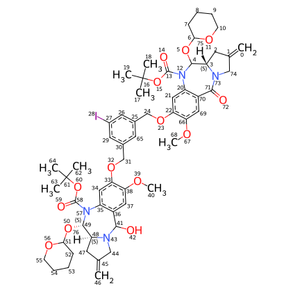 C=C1C[C@H]2C(OC3CCCCO3)N(C(=O)OC(C)(C)C)c3cc(OCc4cc(I)cc(COc5cc6c(cc5OC)C(O)N5CC(=C)C[C@H]5[C@H](OC5CCCCO5)N6C(=O)OC(C)(C)C)c4)c(OC)cc3C(=O)N2C1